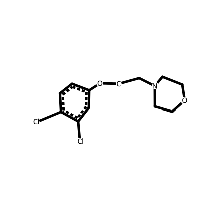 Clc1c[c]c(OCCN2CCOCC2)cc1Cl